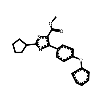 COC(=O)c1sc(C2CCCC2)nc1-c1ccc(Oc2ccccc2)cc1